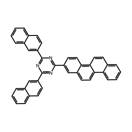 c1ccc2cc(-c3nc(-c4ccc5ccccc5c4)nc(-c4ccc5c(ccc6c7ccccc7ccc56)c4)n3)ccc2c1